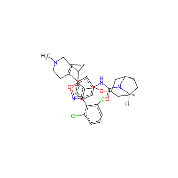 CN1CC=C(c2cccc(NC(=O)N3C4CC[C@H]3CC(OCc3c(-c5c(Cl)cccc5Cl)noc3C3CC3)C4)c2)CC1